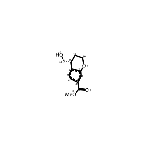 COC(=O)c1ccc2c(c1)OCC[C@H]2SO